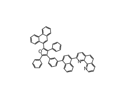 c1ccc(-c2oc(-c3cc4ccccc4c4ccccc34)c(-c3ccccc3)c2-c2cccc(-c3ccc(-c4ccc5ccc6cccnc6c5n4)c4ccccc34)c2)cc1